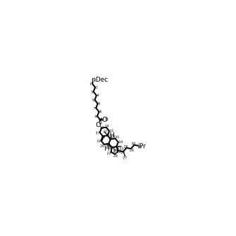 CCCCCCCCCCCCCCCCCCCC(=O)O[C@H]1CC[C@@]2(C)C(=CC[C@H]3[C@@H]4CC[C@H]([C@H](C)CCCC(C)C)[C@@]4(C)CC[C@@H]32)C1